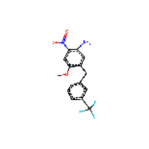 COc1cc([N+](=O)[O-])c(N)cc1Cc1cccc(C(F)(F)F)c1